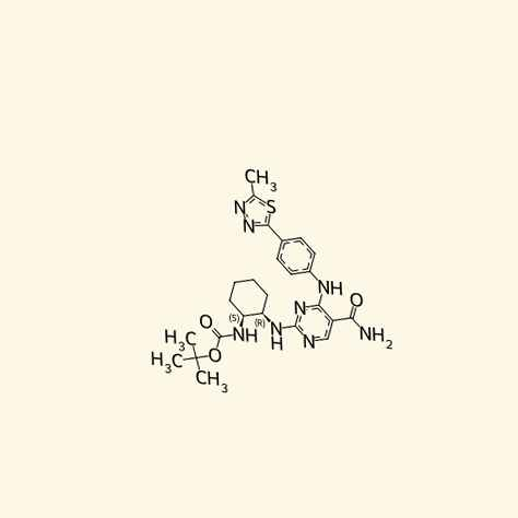 Cc1nnc(-c2ccc(Nc3nc(N[C@@H]4CCCC[C@@H]4NC(=O)OC(C)(C)C)ncc3C(N)=O)cc2)s1